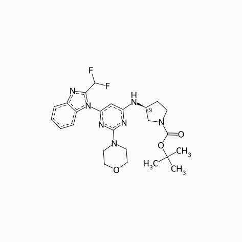 CC(C)(C)OC(=O)N1CC[C@H](Nc2cc(-n3c(C(F)F)nc4ccccc43)nc(N3CCOCC3)n2)C1